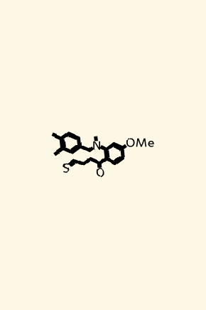 COc1ccc(C(=O)CCC=S)c(N(C)Cc2ccc(C)c(C)c2)c1